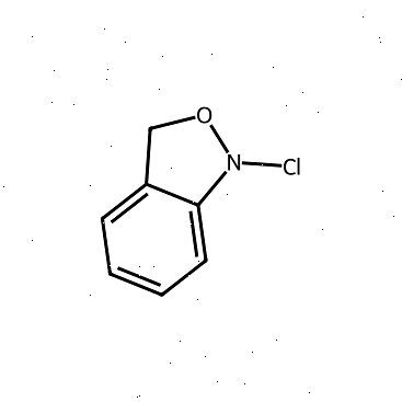 ClN1OCc2ccccc21